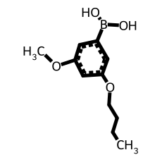 CCCCOc1cc(OC)cc(B(O)O)c1